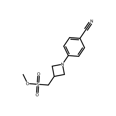 COS(=O)(=O)CC1CN(c2ccc(C#N)cc2)C1